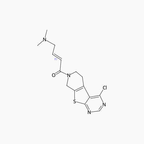 CN(C)C/C=C/C(=O)N1CCc2c(sc3ncnc(Cl)c23)C1